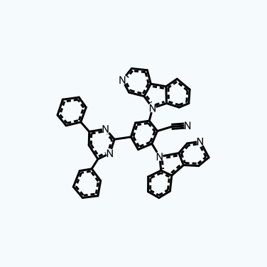 N#Cc1c(-n2c3ccccc3c3ccncc32)cc(-c2nc(-c3ccccc3)cc(-c3ccccc3)n2)cc1-n1c2ccccc2c2ccncc21